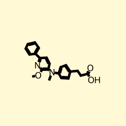 COc1nc(-c2ccccc2)ccc1N(C)c1ccc(CCC(=O)O)cc1